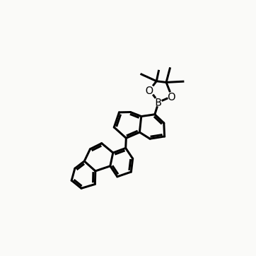 CC1(C)OB(c2cccc3c(-c4cccc5c4ccc4ccccc45)cccc23)OC1(C)C